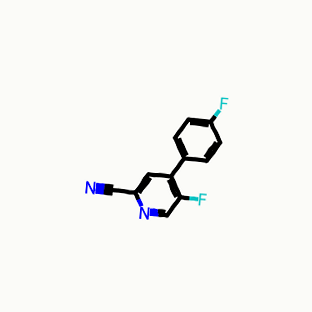 N#Cc1cc(-c2ccc(F)cc2)c(F)cn1